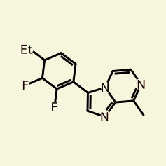 CCC1C=CC(c2cnc3c(C)nccn23)=C(F)C1F